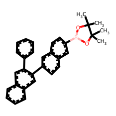 CC1(C)OB(c2ccc3cc(-c4cc5ccccc5cc4-c4ccccc4)ccc3c2)OC1(C)C